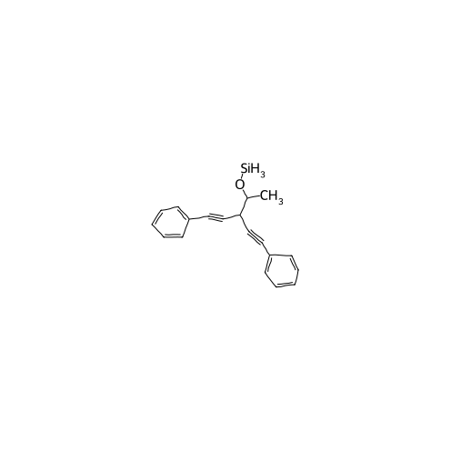 CC(O[SiH3])C(C#Cc1ccccc1)C#Cc1ccccc1